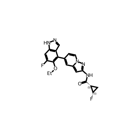 CCOc1c(F)cc2[nH]ncc2c1-c1ccn2nc(NC(=O)[C@@H]3C[C@@H]3F)cc2c1